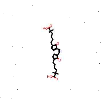 CC(C)(CCCCC1=CC=C(/C=C\C2=CC=C(CCCCC(C)(C)C(=O)O)C2=O)C1=O)C(=O)O